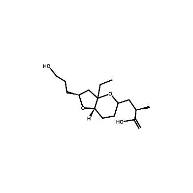 C=C(O)[C@H](C)CC1CC[C@@H]2O[C@@H](CCCO)CC2(CI)O1